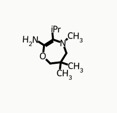 CC(C)C1=C(N)OCC(C)(C)CN1C